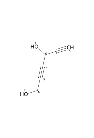 C#CC(O)C#CCO